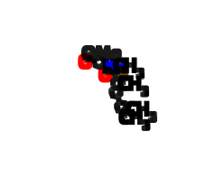 COC(=O)C1CCC(NC(=O)c2c(C)sc(C)c2Cc2ccc(-c3ccc(C)c(C)c3)cc2)CC1